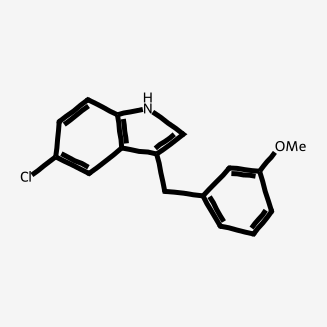 COc1cccc(Cc2c[nH]c3ccc(Cl)cc23)c1